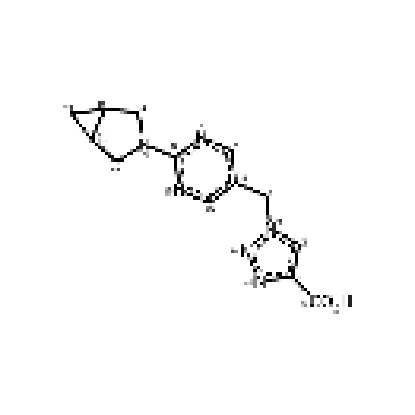 O=C(O)c1cn(Cc2cnc(N3CC4CC4C3)nc2)nn1